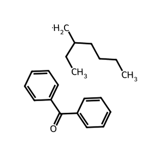 O=C(c1ccccc1)c1ccccc1.[CH2]C(CC)CCCC